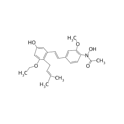 CCOc1cc(O)cc(C=Cc2ccc(N(O)C(C)=O)c(OC)c2)c1CC=C(C)C